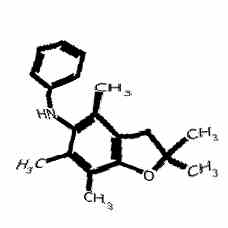 Cc1c(C)c2c(c(C)c1Nc1ccccc1)CC(C)(C)O2